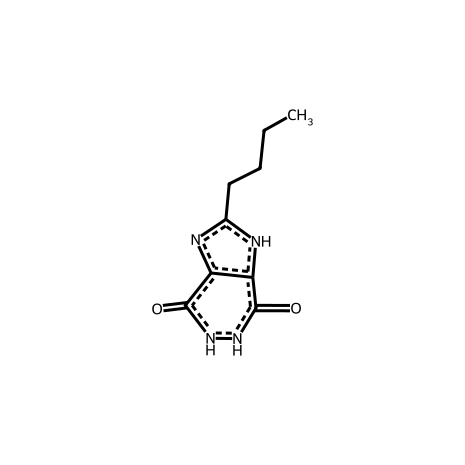 CCCCc1nc2c(=O)[nH][nH]c(=O)c2[nH]1